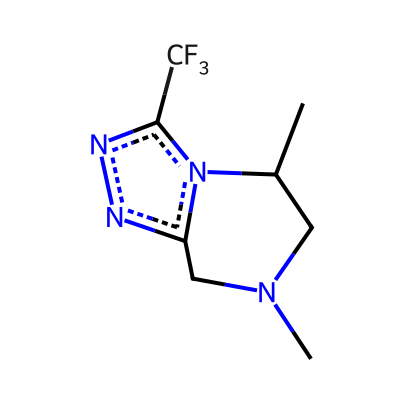 CC1CN(C)Cc2nnc(C(F)(F)F)n21